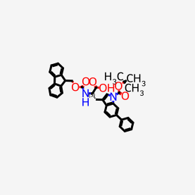 CC(C)(C)OC(=O)n1cc(C[C@H](NC(=O)OCC2c3ccccc3-c3ccccc32)C(=O)O)c2ccc(-c3ccccc3)cc21